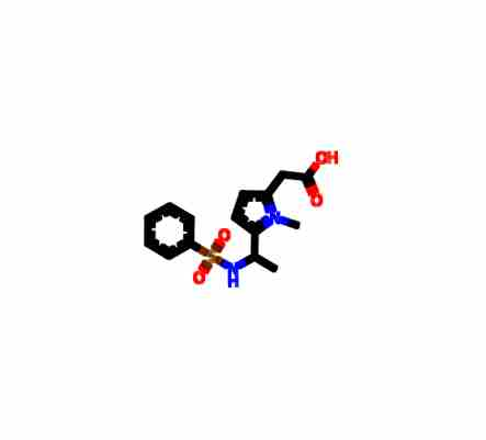 CC(NS(=O)(=O)c1ccccc1)c1ccc(CC(=O)O)n1C